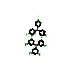 Fc1cc(F)cc(B(c2cc(F)cc(F)c2)c2cc(F)cc(F)c2)c1.Fc1ccc(B(c2ccc(F)cc2)c2ccc(F)cc2)cc1